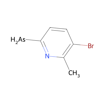 Cc1nc([AsH2])ccc1Br